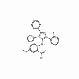 COc1ccc(Nc2c(-c3ccsc3)c(-c3ccccc3)nn2-c2ccccc2C)c(C(=O)O)c1